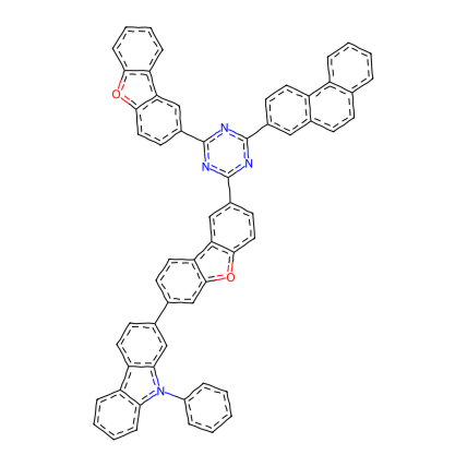 c1ccc(-n2c3ccccc3c3ccc(-c4ccc5c(c4)oc4ccc(-c6nc(-c7ccc8c(ccc9ccccc98)c7)nc(-c7ccc8oc9ccccc9c8c7)n6)cc45)cc32)cc1